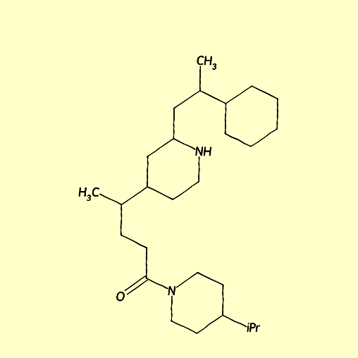 CC(C)C1CCN(C(=O)CCC(C)C2CCNC(CC(C)C3CCCCC3)C2)CC1